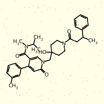 Cc1cccc(-c2cc(=O)n(CC3(O)CCN(C(=O)CC(C)c4ccccc4)CC3)cc2C(=O)N(C)C(C)C)c1